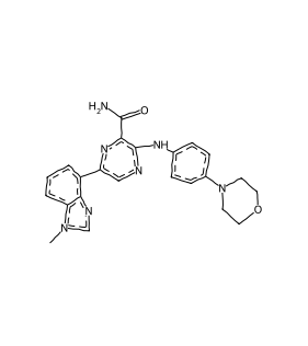 Cn1cnc2c(-c3cnc(Nc4ccc(N5CCOCC5)cc4)c(C(N)=O)n3)cccc21